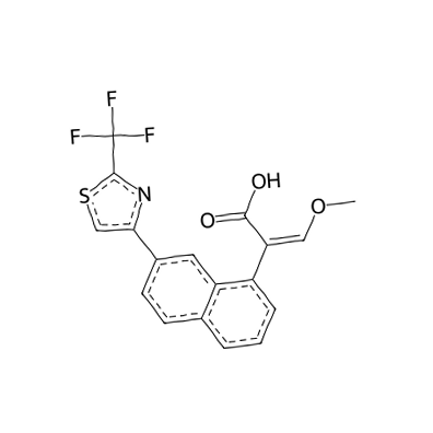 COC=C(C(=O)O)c1cccc2ccc(-c3csc(C(F)(F)F)n3)cc12